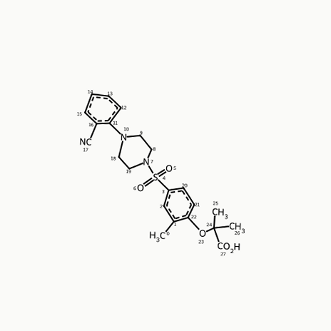 Cc1cc(S(=O)(=O)N2CCN(c3ccccc3C#N)CC2)ccc1OC(C)(C)C(=O)O